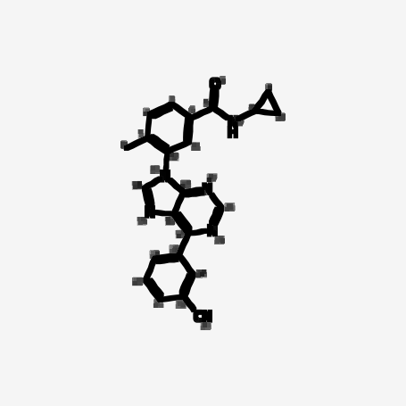 Cc1ccc(C(=O)NC2CC2)cc1-n1cnc2c(-c3cccc(C#N)c3)ncnc21